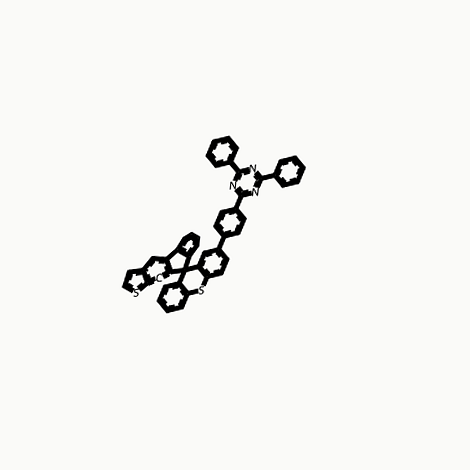 c1ccc(-c2nc(-c3ccccc3)nc(-c3ccc(-c4ccc5c(c4)C4(c6ccccc6S5)c5ccccc5-c5cc6ccsc6cc54)cc3)n2)cc1